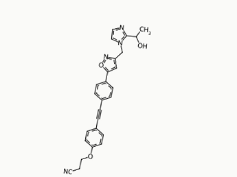 CC(O)c1nccn1Cc1cc(-c2ccc(C#Cc3ccc(OCCC#N)cc3)cc2)on1